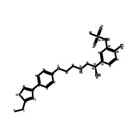 CCc1nc(-c2ccc(OCCNC[C@H](O)c3ccc(Cl)c(NS(C)(=O)=O)c3)cc2)cs1